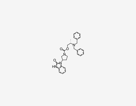 C[C@@H](COC(=O)N1CCC(n2c(=O)[nH]c3ccccc32)C1)N(Cc1ccccc1)Cc1ccccc1